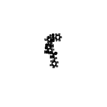 CC1SC(C)(S(=O)(=O)c2ccccc2)NC1C(=O)NC(CNC(=O)NCc1ccccc1)C(=O)O